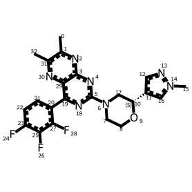 Cc1nc2nc(N3CCO[C@@H](c4cnn(C)c4)C3)nc(-c3ccc(F)c(F)c3F)c2nc1C